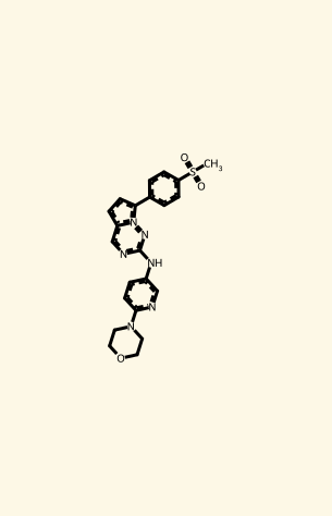 CS(=O)(=O)c1ccc(-c2ccc3cnc(Nc4ccc(N5CCOCC5)nc4)nn23)cc1